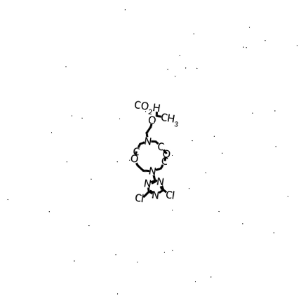 CC(OCCN1CCOCCN(c2nc(Cl)nc(Cl)n2)CCOCC1)C(=O)O